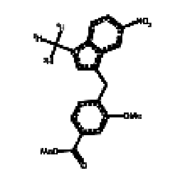 [2H]C([2H])([2H])n1cc(Cc2ccc(C(=O)OC)cc2OC)c2cc([N+](=O)[O-])ccc21